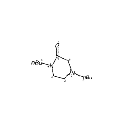 CCCCN1CCN(CCCC)C(=O)C1